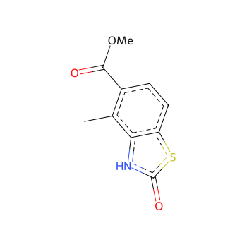 COC(=O)c1ccc2sc(=O)[nH]c2c1C